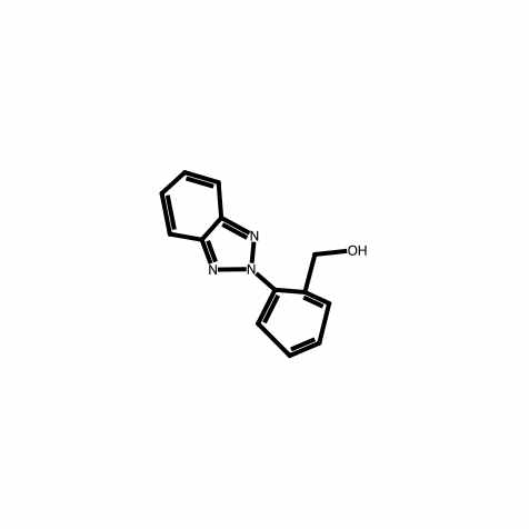 OCc1ccccc1-n1nc2ccccc2n1